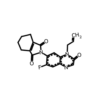 C=CCn1c(=O)cnc2cc(F)c(N3C(=O)C4=C(CCCC4)C3=O)cc21